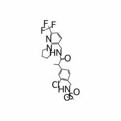 CC(C(=O)NCc1ccc(C(F)(F)F)nc1N1CCCC1)c1ccc(CNS(C)(=O)=O)c(Cl)c1